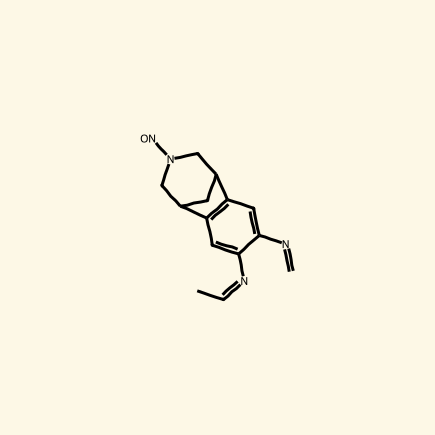 C=Nc1cc2c(cc1/N=C\C)C1CC2CN(N=O)C1